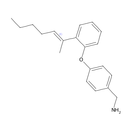 CCCC/C=C(\C)c1ccccc1Oc1ccc(CN)cc1